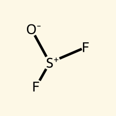 [O-][S+](F)F